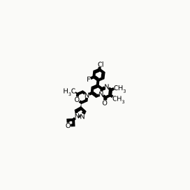 Cc1nc2c(-c3ccc(Cl)cc3F)cc(N3C[C@H](C)O[C@@H](c4cnn(C5COC5)c4)C3)cn2c(=O)c1C